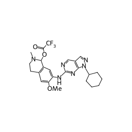 COc1cc2c(cc1Nc1ncc3cnn(C4CCCCC4)c3n1)C(OC(=O)C(F)(F)F)N(C)CC2